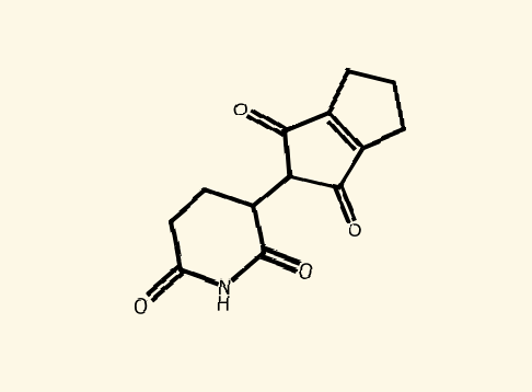 O=C1CCC(C2C(=O)C3=C(CCC3)C2=O)C(=O)N1